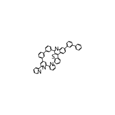 c1ccc(-c2cccc(-c3ccc4c(c3)nc(-c3cccc(-c5cccc(-c6cc(-c7ccccn7)nc(-c7ccccn7)c6)c5)c3)c3sc5ccccc5c34)c2)cc1